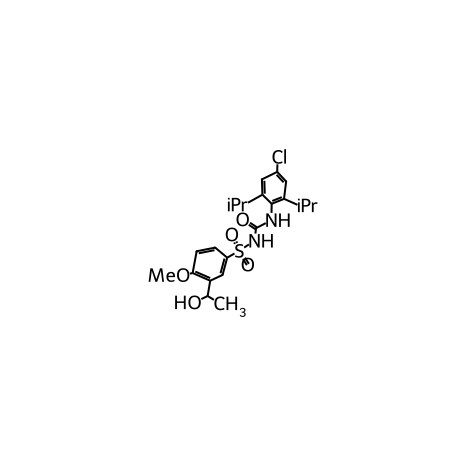 COc1ccc(S(=O)(=O)NC(=O)Nc2c(C(C)C)cc(Cl)cc2C(C)C)cc1C(C)O